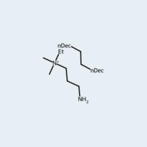 CCCCCCCCCCCCCCCCCCCCCC.CC[N+](C)(C)CCCN